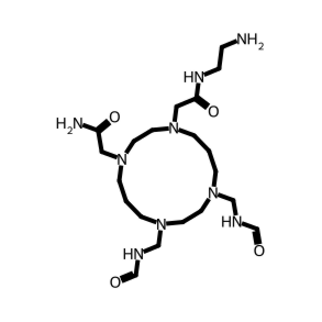 NCCNC(=O)CN1CCCN(CNC=O)CCN(CNC=O)CCCN(CC(N)=O)CC1